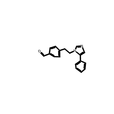 O=Cc1ccc(CCn2cncc2-c2ccccc2)cc1